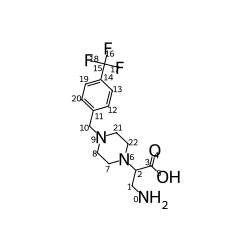 NCC(C(=O)O)N1CCN(Cc2ccc(C(F)(F)F)cc2)CC1